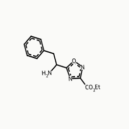 CCOC(=O)c1noc(C(N)Cc2ccccc2)n1